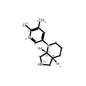 Cc1cc(N2CCC[C@@H]3CNC[C@@H]32)cnc1Cl